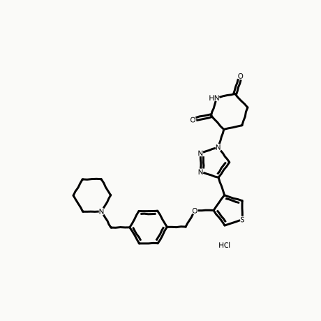 Cl.O=C1CCC(n2cc(-c3cscc3OCc3ccc(CN4CCCCC4)cc3)nn2)C(=O)N1